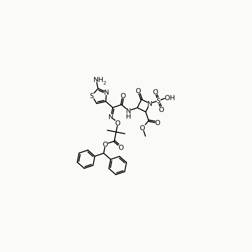 COC(=O)C1C(NC(=O)C(=NOC(C)(C)C(=O)OC(c2ccccc2)c2ccccc2)c2csc(N)n2)C(=O)N1S(=O)(=O)O